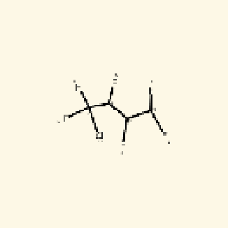 FC(F)C(F)C(F)C(F)(F)Cl